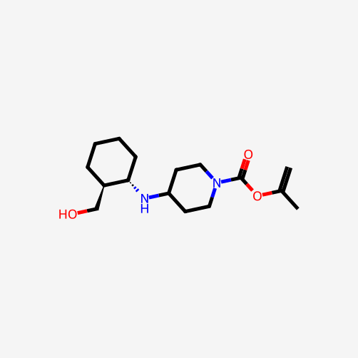 C=C(C)OC(=O)N1CCC(N[C@H]2CCCC[C@@H]2CO)CC1